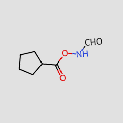 O=CNOC(=O)C1CCCC1